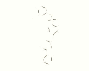 Cc1ccc(NS(=O)(=O)c2ccc(NC(=S)NC(=O)c3ccccc3)cc2)cc1C